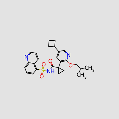 CC(C)COc1ncc(C2CCC2)cc1C1(C(=O)NS(=O)(=O)c2cccc3ncccc23)CC1